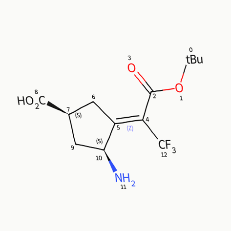 CC(C)(C)OC(=O)/C(=C1\C[C@H](C(=O)O)C[C@@H]1N)C(F)(F)F